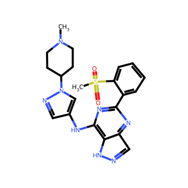 CN1CCC(n2cc(Nc3nc(-c4ccccc4S(C)(=O)=O)nc4cn[nH]c34)cn2)CC1